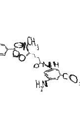 CN(OC(=O)c1ccccc1)C(=O)CCCC(=O)Nc1cc(N)cc(C(=O)O)c1